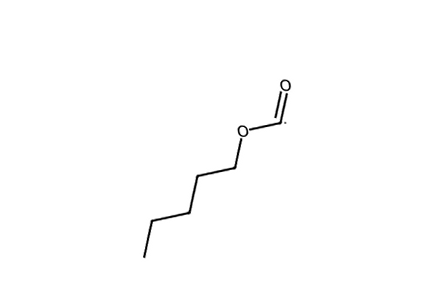 CCCCCO[C]=O